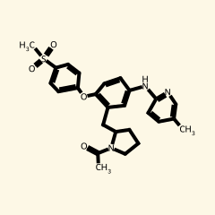 CC(=O)N1CCCC1Cc1cc(Nc2ccc(C)cn2)ccc1Oc1ccc(S(C)(=O)=O)cc1